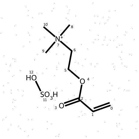 C=CC(=O)OCC[N+](C)(C)C.O=S(=O)(O)O